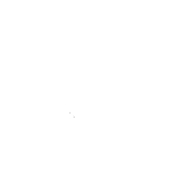 CCCCCCCCC1CCC(C2CC3CC4CCCCC4CC3S2)CC1